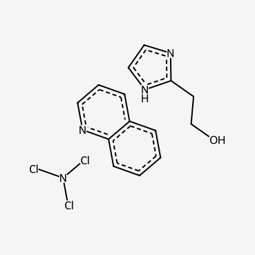 ClN(Cl)Cl.OCCc1ncc[nH]1.c1ccc2ncccc2c1